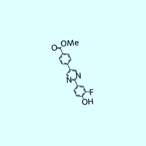 COC(=O)c1ccc(-c2cnc(-c3ccc(O)c(F)c3)nc2)cc1